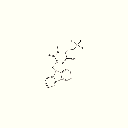 CN(C(=O)OCC1c2ccccc2-c2ccccc21)C(CCC(F)(F)F)C(=O)O